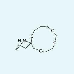 C=CCC1(N)CCCCCCCCCCC1